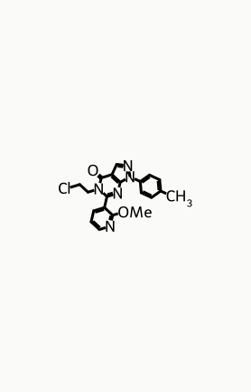 COc1ncccc1-c1nc2c(cnn2-c2ccc(C)cc2)c(=O)n1CCCl